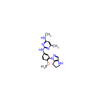 CNc1cc(C)nc(Nc2ccc(OC)c(-n3ncc4c3CCCN4)c2)n1